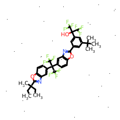 CCC(C)(CC)c1nc2cc(C(c3ccc4oc(-c5cc(C(C)(C)C)cc(C(O)(C(F)(F)F)C(F)(F)F)c5)nc4c3)(C(F)(F)F)C(F)(F)F)ccc2o1